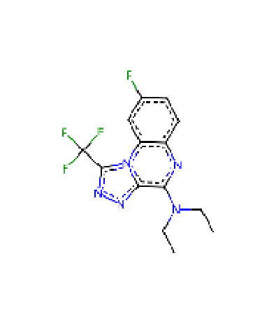 CCN(CC)c1nc2ccc(F)cc2n2c(C(F)(F)F)nnc12